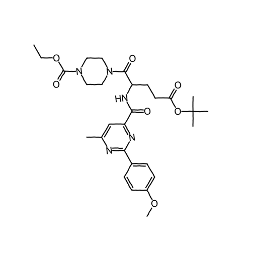 CCOC(=O)N1CCN(C(=O)C(CCC(=O)OC(C)(C)C)NC(=O)c2cc(C)nc(-c3ccc(OC)cc3)n2)CC1